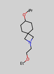 CCOCCN1CC2(CCC(OC(C)C)CC2)C1